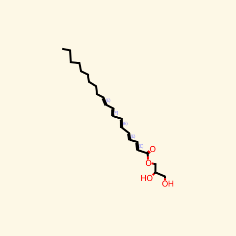 CCCCCCCCC/C=C/C=C/C=C/C=C/C=C/C(=O)OCC(O)CO